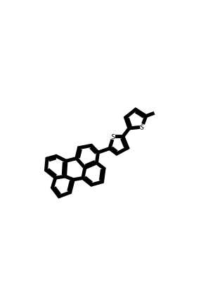 Cc1ccc(-c2ccc(-c3ccc4c5cccc6cccc(c7cccc3c74)c65)s2)s1